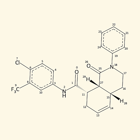 O=C(Nc1ccc(Cl)c(C(F)(F)F)c1)[C@H]1CC=C[C@H]2CCN(c3ccccc3)C(=O)[C@@H]12